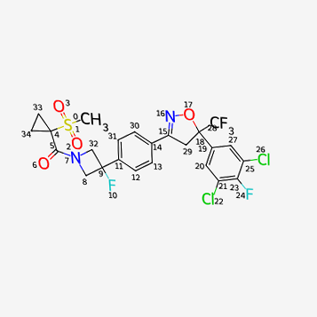 CS(=O)(=O)C1(C(=O)N2CC(F)(c3ccc(C4=NOC(c5cc(Cl)c(F)c(Cl)c5)(C(F)(F)F)C4)cc3)C2)CC1